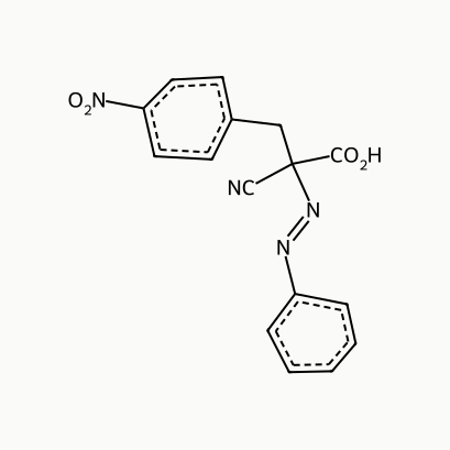 N#CC(Cc1ccc([N+](=O)[O-])cc1)(N=Nc1ccccc1)C(=O)O